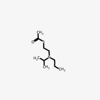 CCCN(CCSC(C)=O)C(C)C